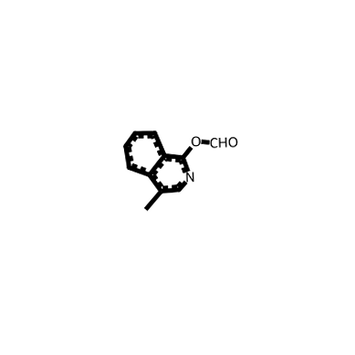 Cc1cnc(OC=O)c2ccccc12